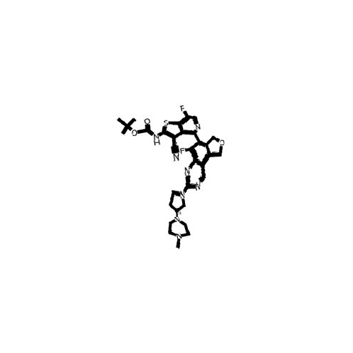 CN1CCN([C@H]2CCN(c3ncc4c5c(c(-c6ncc(F)c7sc(NC(=O)OC(C)(C)C)c(C#N)c67)c(F)c4n3)COC5)C2)CC1